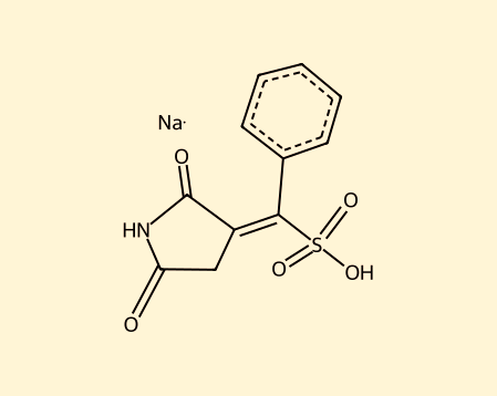 O=C1CC(=C(c2ccccc2)S(=O)(=O)O)C(=O)N1.[Na]